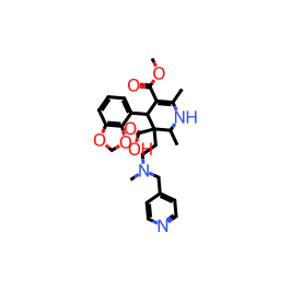 COC(=O)C1=C(C)NC(C)C(CCN(C)Cc2ccncc2)(C(=O)O)C1c1cccc2c1OCO2